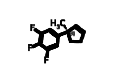 C[C@]1(c2cc(F)c(F)c(F)c2)C=CCC1